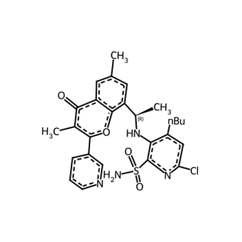 CCCCc1cc(Cl)nc(S(N)(=O)=O)c1N[C@H](C)c1cc(C)cc2c(=O)c(C)c(-c3cccnc3)oc12